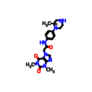 C[C@H]1CNCCN1c1ccc(NC(=O)Cn2cnc3c2c(=O)n(C)c(=O)n3C)cc1